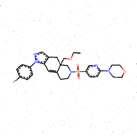 CCOCC12Cc3cnn(-c4ccc(F)cc4)c3C=C1CCN(S(=O)(=O)c1ccc(N3CCOCC3)nc1)C2